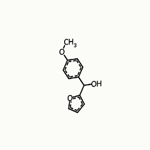 COc1ccc(C(O)c2ccco2)cc1